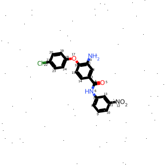 Nc1cc(C(=O)Nc2cccc([N+](=O)[O-])c2)ccc1Oc1ccc(Cl)cc1